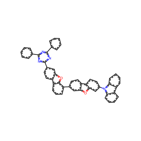 c1ccc(-c2nc(-c3ccccc3)nc(-c3ccc4c(c3)oc3c(-c5ccc6c(c5)oc5cc(-n7c8ccccc8c8ccccc87)ccc56)cccc34)n2)cc1